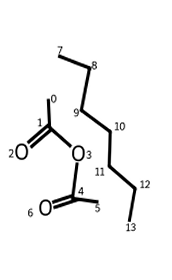 CC(=O)OC(C)=O.CCCCCCC